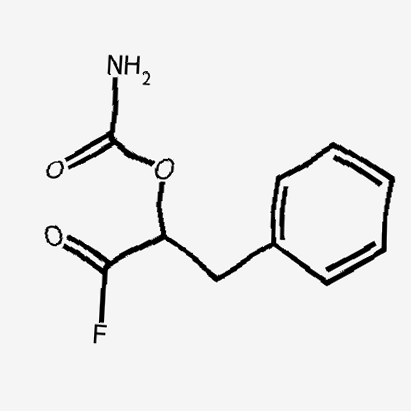 NC(=O)OC(Cc1ccccc1)C(=O)F